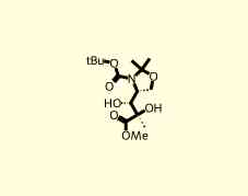 COC(=O)[C@](C)(O)[C@H](O)[C@H]1COC(C)(C)N1C(=O)OC(C)(C)C